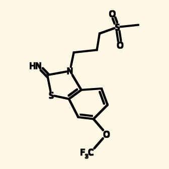 CS(=O)(=O)CCCn1c(=N)sc2cc(OC(F)(F)F)ccc21